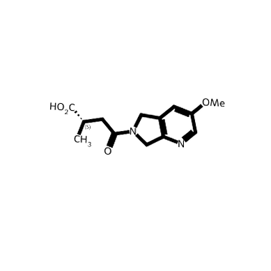 COc1cnc2c(c1)CN(C(=O)C[C@H](C)C(=O)O)C2